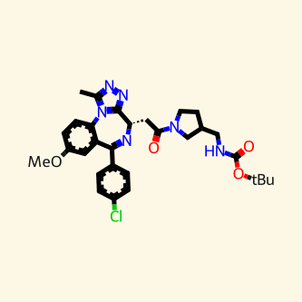 COc1ccc2c(c1)C(c1ccc(Cl)cc1)=N[C@@H](CC(=O)N1CCC(CNC(=O)OC(C)(C)C)C1)c1nnc(C)n1-2